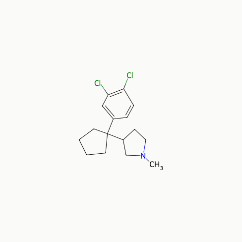 CN1CCC(C2(c3ccc(Cl)c(Cl)c3)CCCC2)C1